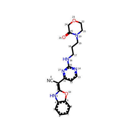 N#C/C(=C1\Nc2ccccc2O1)c1ccnc(NCCCN2CCOCC2=O)n1